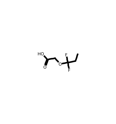 CCC(F)(F)OCC(=O)O